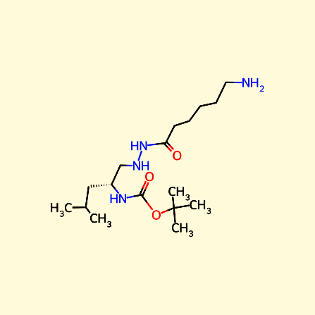 CC(C)C[C@H](CNNC(=O)CCCCCN)NC(=O)OC(C)(C)C